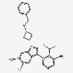 Cc1cc2c(cc1C#N)c(-c1cncc(N)c1C(F)F)cn2[C@H]1C[C@@H](OCc2ccccc2)C1